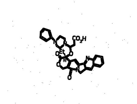 CC[C@@]1(OC(CC(=O)O)N2CCN(c3ccccc3)CC2)C(=O)OCc2c1cc1n(c2=O)Cc2cc3ccccc3nc2-1